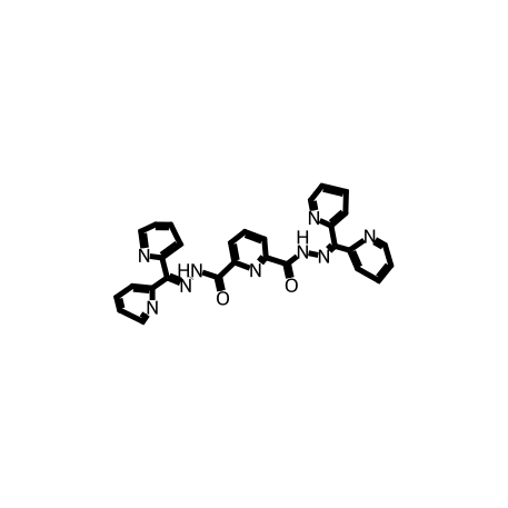 O=C(NN=C(c1ccccn1)c1ccccn1)c1cccc(C(=O)NN=C(c2ccccn2)c2ccccn2)n1